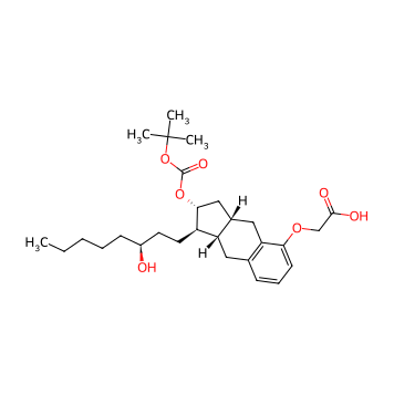 CCCCC[C@H](O)CC[C@@H]1[C@H]2Cc3cccc(OCC(=O)O)c3C[C@H]2C[C@H]1OC(=O)OC(C)(C)C